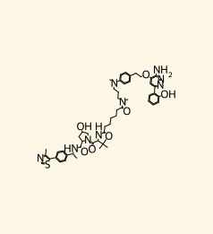 Cc1ncsc1-c1ccc(C(C)NC(=O)C2CC(O)CN2C(=O)C(NC(=O)CCCCCC(=O)N(C)CCCN(C)c2ccc(CCOc3cc(-c4ccccc4O)nnc3N)cc2)C(C)(C)C)cc1